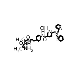 C[C@@H](N)C(=O)N[C@H](C)C(=O)NCCc1ccc(NC(=O)c2ccc(CN(Cc3ccccn3)Cc3ccccn3)nc2)cc1.Cl